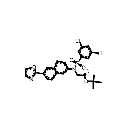 CC(C)(C)OC(=O)CN(c1ccc2cc(-c3ncco3)ccc2c1)S(=O)(=O)c1cc(Cl)cc(Cl)c1